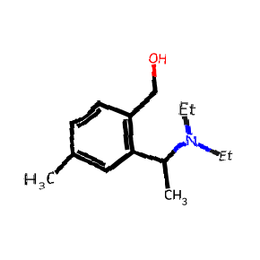 CCN(CC)C(C)c1cc(C)ccc1CO